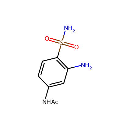 CC(=O)Nc1ccc(S(N)(=O)=O)c(N)c1